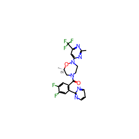 Cc1nc(N2CCN(C(=O)c3cc(F)c(F)cc3-c3ncccn3)C[C@H](C)O2)cc(C(F)(F)F)n1